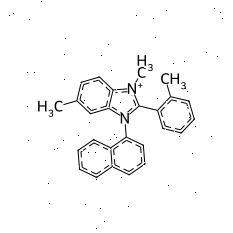 Cc1ccc2c(c1)n(-c1cccc3ccccc13)c(-c1ccccc1C)[n+]2C